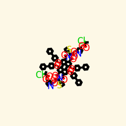 C=C(Cl)C(=O)Oc1ccnc(OC(=O)C(c2cccs2)N2C(=O)c3cc(Oc4ccc(-c5ccccc5)cc4)c4c5c(Oc6ccc(-c7ccccc7)cc6)cc6c7c(cc(Oc8ccc(-c9ccccc9)cc8)c(c8c(Oc9ccc(-c%10ccccc%10)cc9)cc(c3c48)C2=O)c75)C(=O)N(C(C(=O)Oc2cc(OC(=O)C(=C)Cl)ccn2)c2cccs2)C6=O)c1